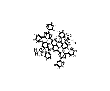 C[Si]1(C)c2ccccc2N(c2cc(-c3nc(-c4ccccn4)nc(-c4ccccn4)n3)cc3c(N4c5ccccc5[Si](C)(C)c5ccccc54)cc(-c4nc(-c5ccccn5)nc(-c5ccccn5)n4)cc23)c2ccccc21